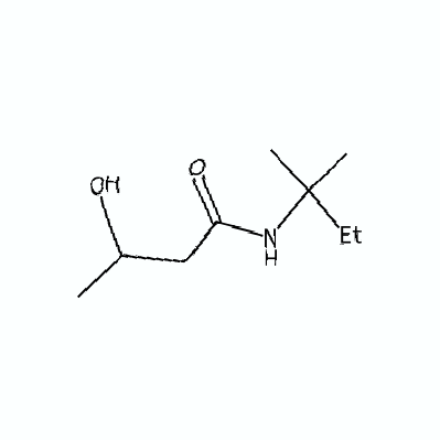 CCC(C)(C)NC(=O)CC(C)O